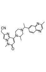 Cc1cnc2ccc(C(C)N3CCN(c4cc(=O)n(C)n5cc(CC#N)nc45)C(C)C3)cc2n1